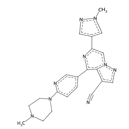 CN1CCN(c2ccc(-c3nc(-c4cnn(C)c4)cn4ncc(C#N)c34)cn2)CC1